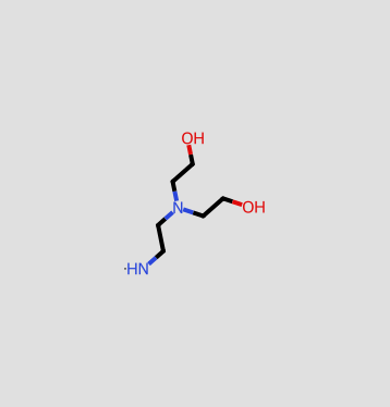 [NH]CCN(CCO)CCO